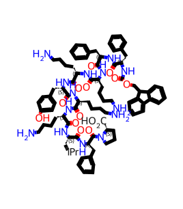 CC(C)C[C@H](NC(=O)[C@H](CCCCN)NC(=O)[C@H](CCCCN)NC(=O)[C@H](Cc1ccc(O)cc1)NC(=O)[C@H](CCCCN)NC(=O)[C@H](CCCCN)NC(=O)[C@@H](Cc1ccccc1)NC(=O)[C@H](Cc1ccccc1)NC(=O)OCC1c2ccccc2-c2ccccc21)C(=O)N[C@H](Cc1ccccc1)C(=O)N1CCC[C@H]1C(=O)O